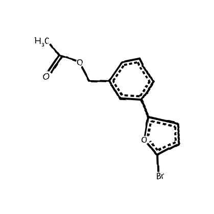 CC(=O)OCc1cccc(-c2ccc(Br)o2)c1